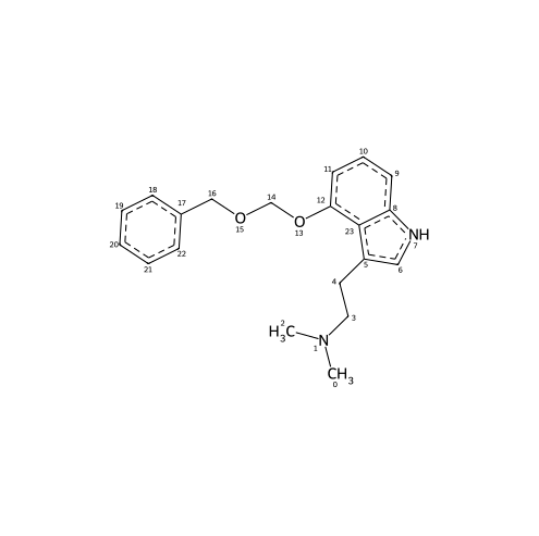 CN(C)CCc1c[nH]c2cccc(OCOCc3ccccc3)c12